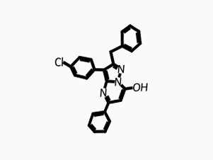 Oc1cc(-c2ccccc2)nc2c(-c3ccc(Cl)cc3)c(Cc3ccccc3)nn12